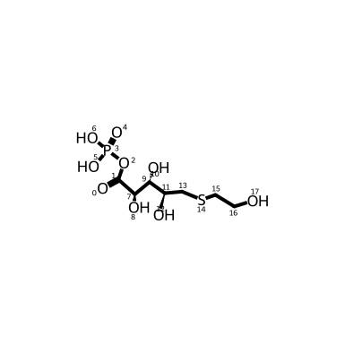 O=C(OP(=O)(O)O)[C@H](O)[C@H](O)[C@H](O)CSCCO